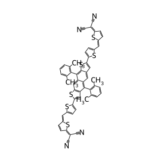 Cc1cccc(C)c1-c1c2cc(-c3ccc(/C=c4/ccc(=C(C#N)C#N)s4)s3)sc2cc2c(-c3c(C)cccc3C)c3sc(-c4ccc(/C=c5/ccc(=C(C#N)C#N)s5)s4)cc3cc12